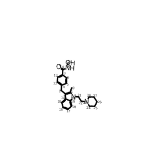 Cc1c(Cc2ccc(C(=O)NO)cc2)c2ccccc2n1CCN1CCCCC1